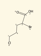 O=C(O)C(Br)CCCCl